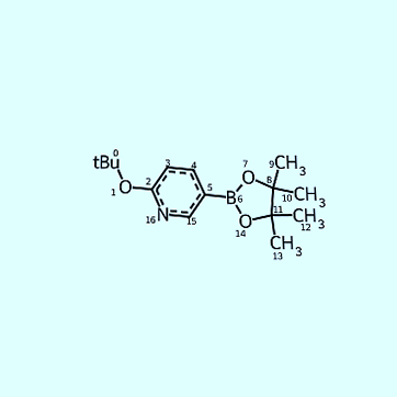 CC(C)(C)Oc1ccc(B2OC(C)(C)C(C)(C)O2)cn1